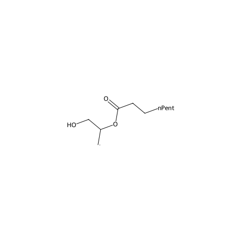 [CH2]C(CO)OC(=O)CCCCCCC